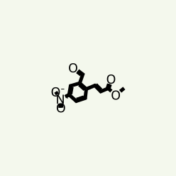 COC(=O)/C=C/c1ccc([N+](=O)[O-])cc1C=O